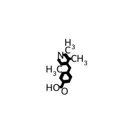 Cc1cnc(C)c(C)c1Cc1ccc(C(=O)O)cc1